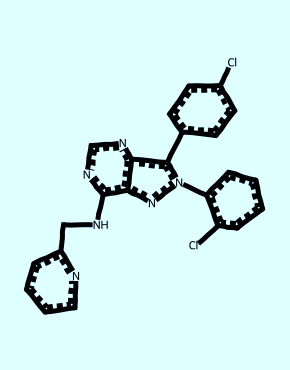 Clc1ccc(-c2c3ncnc(NCc4ccccn4)c3nn2-c2ccccc2Cl)cc1